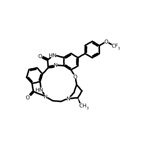 C[C@@H]1CC2CN1CCn1[nH]c3c(cccc3c1=O)-c1nc3c(cc(-c4ccc(OC(F)(F)F)cc4)cc3[nH]c1=O)O2